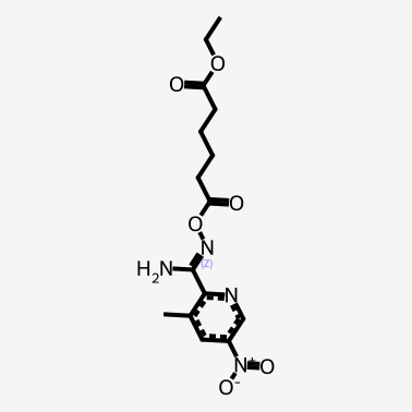 CCOC(=O)CCCCC(=O)O/N=C(\N)c1ncc([N+](=O)[O-])cc1C